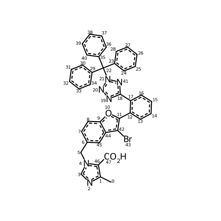 Cc1ncn(Cc2ccc3oc(-c4ccccc4-c4nnn(C(c5ccccc5)(c5ccccc5)c5ccccc5)n4)c(Br)c3c2)c1C(=O)O